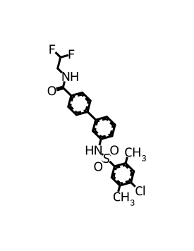 Cc1cc(S(=O)(=O)Nc2cccc(-c3ccc(C(=O)NCC(F)F)cc3)c2)c(C)cc1Cl